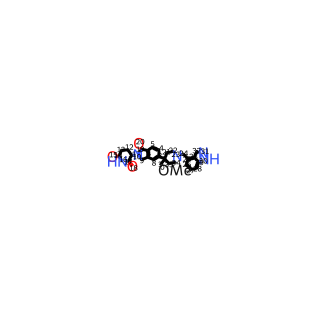 COCC1(c2ccc3c(c2)CN(C2CCC(=O)NC2=O)C3=O)CCN(Cc2cccc3[nH]ncc23)CC1